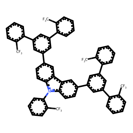 FC(F)(F)c1ccccc1-c1cc(-c2ccc3c(c2)c2cc(-c4cc(-c5ccccc5C(F)(F)F)cc(-c5ccccc5C(F)(F)F)c4)ccc2n3-c2ccccc2C(F)(F)F)cc(-c2ccccc2C(F)(F)F)c1